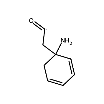 NC1(C[C]=O)C=CC=CC1